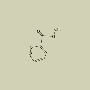 COC(=O)c1cccnn1